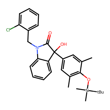 Cc1cc(C2(O)C(=O)N(Cc3ccccc3Cl)c3ccccc32)cc(C)c1O[Si](C)(C)C(C)(C)C